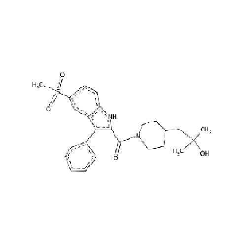 CC(C)(O)CC1CCN(C(=O)c2[nH]c3ccc(S(C)(=O)=O)cc3c2-c2ccccc2)CC1